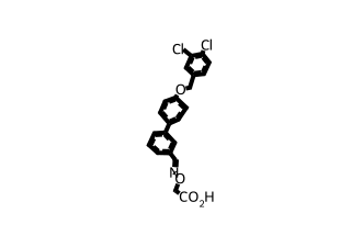 O=C(O)CO/N=C/c1cccc(-c2ccc(OCc3ccc(Cl)c(Cl)c3)cc2)c1